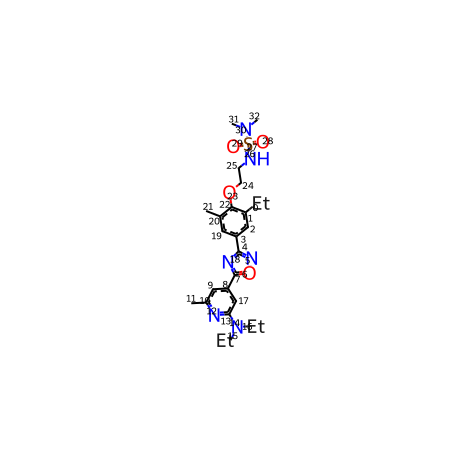 CCc1cc(-c2noc(-c3cc(C)nc(N(CC)CC)c3)n2)cc(C)c1OCCNS(=O)(=O)N(C)C